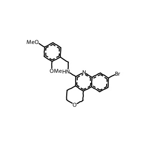 COc1ccc(CNc2nc3cc(Br)ccc3c3c2CCOC3)c(OC)c1